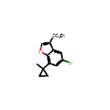 CCOC(=O)c1coc2c(C3(C)CC3)cc(Br)cc12